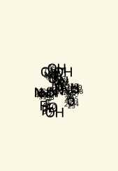 O=C(O)C(F)(F)F.OC[C@H]1O[C@@H](n2cnc3c(NCC(c4ccccc4)c4ccccc4)nc(N4CC[C@@H](n5ccnc5)C4)nc32)[C@H](O)[C@@H]1O